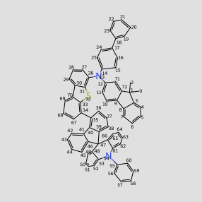 CC1(C)c2ccccc2-c2ccc(N(c3ccc(-c4ccccc4)cc3)c3cccc4c3sc3c(-c5cccc6c5-c5ccccc5C65c6ccccc6N(c6ccccc6)c6ccccc65)cccc34)cc21